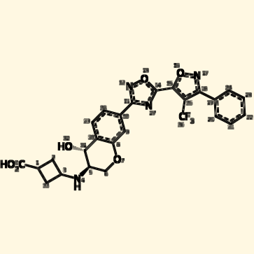 O=C(O)C1CC(N[C@@H]2COc3cc(-c4noc(-c5onc(-c6ccccc6)c5C(F)(F)F)n4)ccc3[C@H]2O)C1